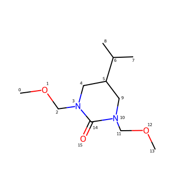 COCN1CC(C(C)C)CN(COC)C1=O